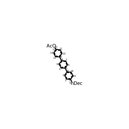 CCCCCCCCCCc1ccc(-c2ccc(-c3ccc(OC(C)=O)cc3)cc2)cc1